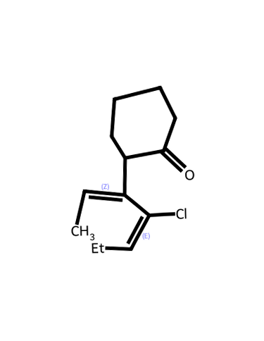 C/C=C(\C(Cl)=C/CC)C1CCCCC1=O